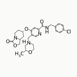 CC1CN(Cc2cnc(C(=O)NCc3ccc(Cl)cc3)cc2O[C@H]2CCN3C(=O)OC[C@@H]3C2)CCO1